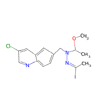 COC(C)N(Cc1ccc2ncc(Cl)cc2c1)/N=C(\C)I